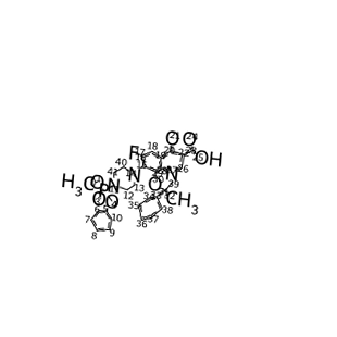 COP(=O)(Oc1ccccc1)N1CCN(c2c(F)cc3c(=O)c(C(=O)O)cn4c3c2OC(C)(c2ccccc2)C4)CC1